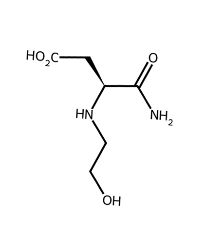 NC(=O)[C@H](CC(=O)O)NCCO